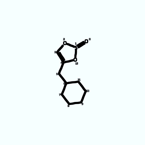 O=S1OC=C(CC2CCCCC2)O1